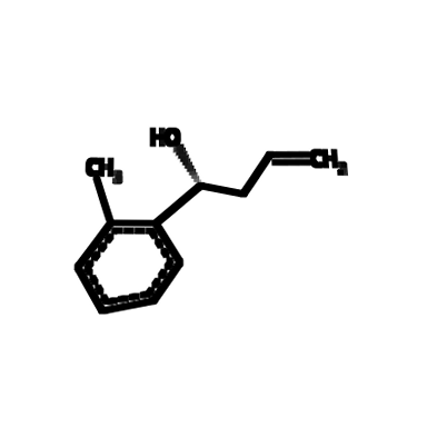 C=CC[C@@H](O)c1ccccc1C